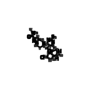 CSc1nc2c(c(N3CCCn4nc(C(=O)N(C)C)cc4C3)n1)CO[C@@]1(C2)C[C@@H]2C[C@@H]2c2ccc(Cl)cc21